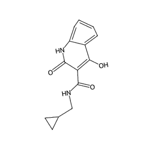 O=C(NCC1CC1)c1c(O)c2ccccc2[nH]c1=O